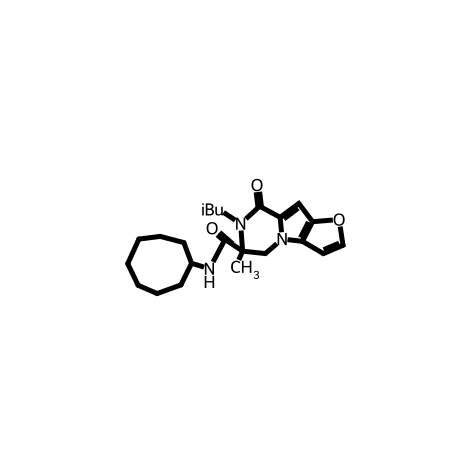 CCC(C)N1C(=O)c2cc3occc3n2CC1(C)C(=O)NC1CCCCCCC1